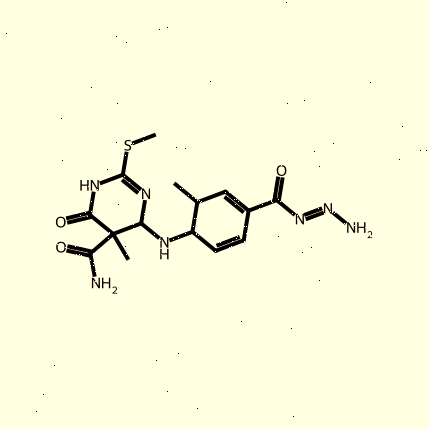 CSC1=NC(NC2C=CC(C(=O)N=NN)=CC2C)C(C)(C(N)=O)C(=O)N1